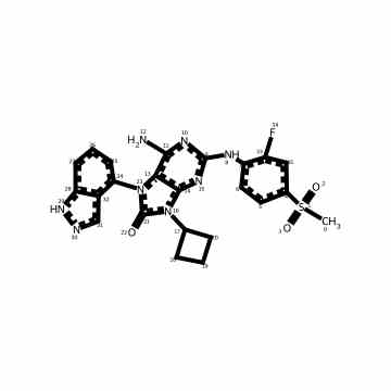 CS(=O)(=O)c1ccc(Nc2nc(N)c3c(n2)n(C2CCC2)c(=O)n3-c2cccc3[nH]ncc23)c(F)c1